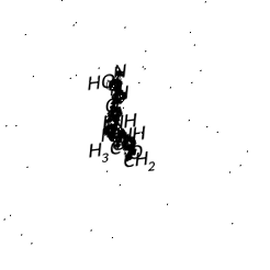 C=CC(=O)N1CCC(Nc2cc3c(Nc4ccc(Oc5ccnc(N6C[C@H](O)[C@@H](C#N)C6)c5)cc4F)ncnc3cc2OC)CC1